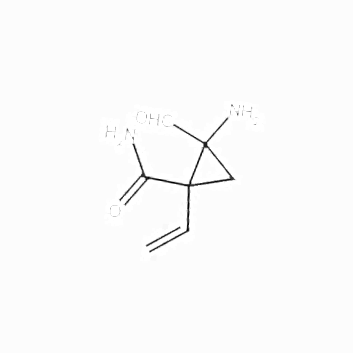 C=CC1(C(N)=O)CC1(N)[C]=O